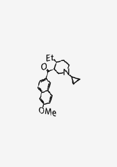 CC[C@H]1CCN(C2CC2)C[C@H]1C(=O)c1ccc2cc(OC)ccc2c1